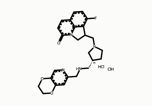 Cl.Cl.O=c1ccc2ccc(F)c3c2n1CC3CN1CC[C@H](CNCc2cc3c(cn2)OCCO3)C1